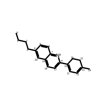 CCCCc1ccc2nc(C3=CC=C(C)CC3)ccc2c1